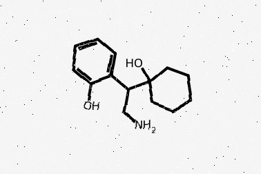 NCC(c1ccccc1O)C1(O)CCCCC1